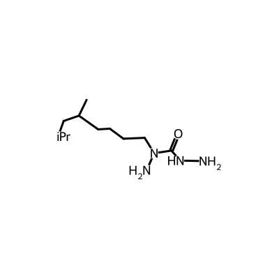 CC(C)CC(C)CCCCN(N)C(=O)NN